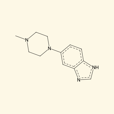 CN1CCN(c2ccc3[nH]cnc3c2)CC1